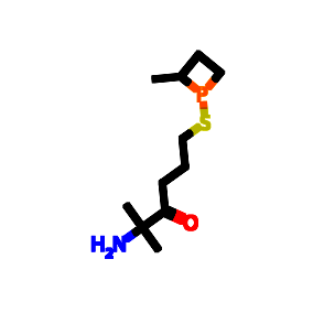 CC1CCP1SCCCC(=O)C(C)(C)N